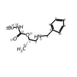 C[C@@H](CNCc1ccccc1)OC(=O)NC(C)(C)C